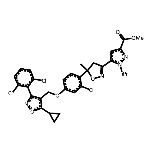 COC(=O)c1cc(C2=NOC(C)(c3ccc(OCc4c(-c5c(Cl)cccc5Cl)noc4C4CC4)cc3Cl)C2)n(C(C)C)n1